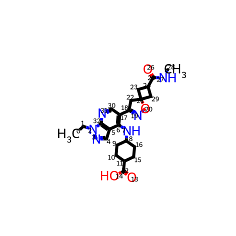 CCn1ncc2c(NC3CCC(C(=O)O)CC3)c(C3=NOC4(C3)CC(C(=O)NC)C4)cnc21